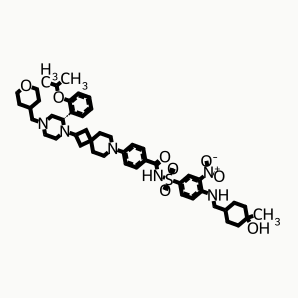 CC(C)Oc1ccccc1[C@H]1CN(CC2CCOCC2)CCN1C1CC2(CCN(c3ccc(C(=O)NS(=O)(=O)c4ccc(NCC5CCC(C)(O)CC5)c([N+](=O)[O-])c4)cc3)CC2)C1